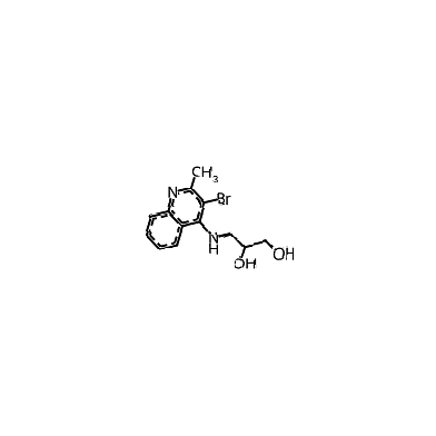 Cc1nc2ccccc2c(NCC(O)CO)c1Br